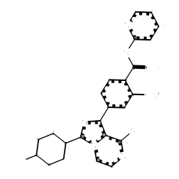 COc1cc(-c2nc(C3CCC(O)CC3)n3ccnc(N)c23)ccc1C(=O)Nc1ccccn1